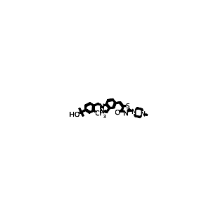 CN1CCN(C2=NC(=O)C(=Cc3ccc4c(cnn4Cc4ccc(C(C)(C)O)cc4C(F)(F)F)c3)S2)CC1